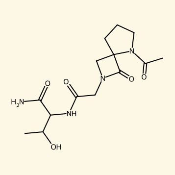 CC(=O)N1CCCC12CN(CC(=O)NC(C(N)=O)C(C)O)C2=O